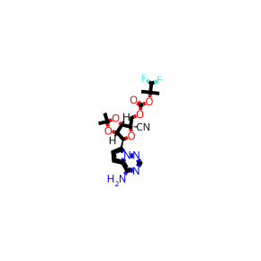 CC1(C)O[C@H]2[C@H](c3ccc4c(N)ncnn34)O[C@](C#N)(COC(=O)OC(C)(C)C(F)F)[C@H]2O1